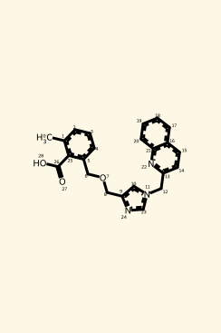 Cc1cccc(COCc2cn(Cc3ccc4ccccc4n3)cn2)c1C(=O)O